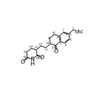 CC(=O)Cc1ccc2c(c1)CCC(CCC1CCC(=O)NC1=O)C2=O